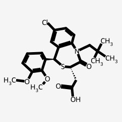 COc1cccc([C@@H]2S[C@@H](CC(=O)O)C(=O)N(CC(C)(C)C)c3ccc(Cl)cc32)c1OC